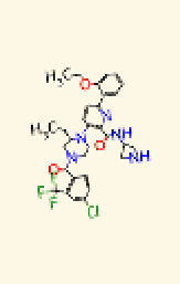 CCOc1ccccc1-c1ccc(N2CCN(C(=O)c3ccc(Cl)cc3C(F)(F)F)C[C@H]2CC)c(C(=O)NC2CNC2)n1